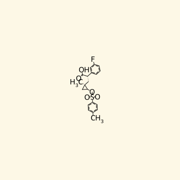 Cc1ccc(S(=O)(=O)OC2C[C@@]2(C)C[C@H](C(=O)O)c2cccc(F)c2)cc1